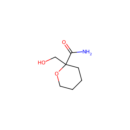 NC(=O)C1(CO)CCCCO1